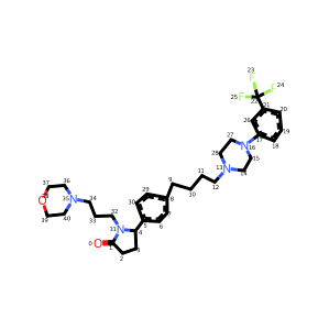 O=C1CCC(c2ccc(CCCCN3CCN(c4cccc(C(F)(F)F)c4)CC3)cc2)N1CCCN1CCOCC1